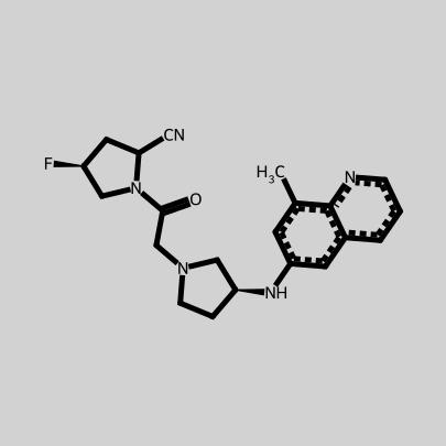 Cc1cc(N[C@H]2CCN(CC(=O)N3C[C@@H](F)CC3C#N)C2)cc2cccnc12